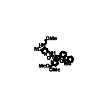 COCCNc1cc(NC(=O)N2c3nc(C(OC)OC)ccc3C3(O[Si](c4ccccc4)(c4ccccc4)C(C)(C)C)CC2C3)ncc1C#N